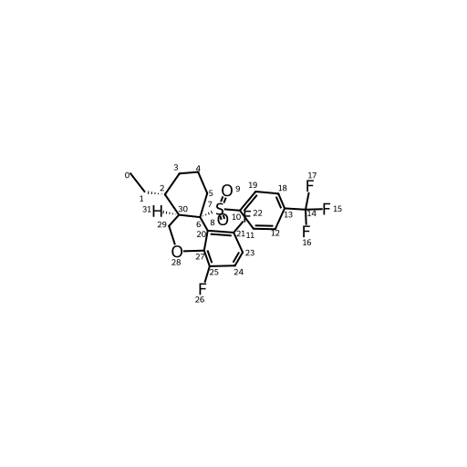 CC[C@@H]1CCC[C@@]2(S(=O)(=O)c3ccc(C(F)(F)F)cc3)c3c(F)ccc(F)c3OC[C@@H]12